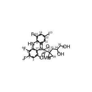 COc1cc(F)c(F)c(Nc2ccc(I)cc2F)c1NS(=O)(=O)C1(CC(O)CO)CC1